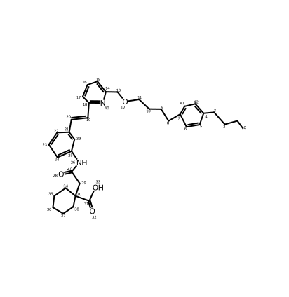 CCCCc1ccc(CCCCOCc2cccc(C=Cc3cccc(NC(=O)CC4(C(=O)O)CCCCC4)c3)n2)cc1